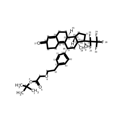 CC(C)(C)OC(=O)COCCc1ccc([C@H]2C[C@@]3(C)[C@@H](CC[C@@]3(O)C(F)(F)C(F)(F)F)[C@@H]3CCC4=CC(=O)CCC4=C32)cc1